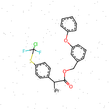 CC(C)C(C(=O)OCc1cccc(Oc2ccccc2)c1)c1ccc(SC(F)(F)Cl)cc1